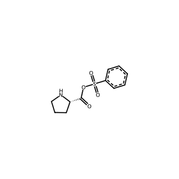 O=C(OS(=O)(=O)c1ccccc1)[C@@H]1CCCN1